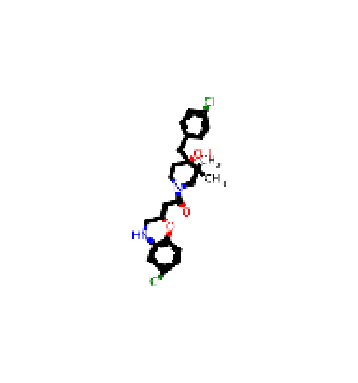 CC1(C)CN(C(=O)CC2CNc3cc(Cl)ccc3O2)CCC1(O)Cc1ccc(Cl)cc1